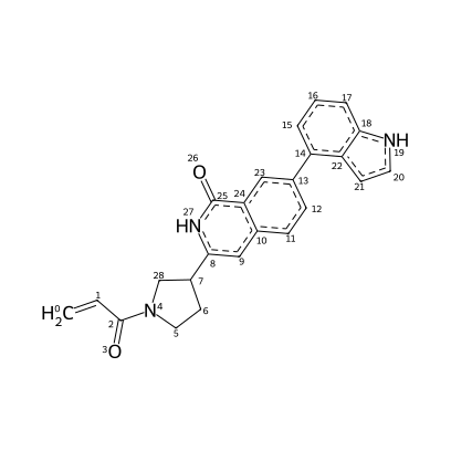 C=CC(=O)N1CCC(c2cc3ccc(-c4cccc5[nH]ccc45)cc3c(=O)[nH]2)C1